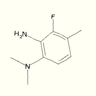 Cc1ccc(N(C)C)c(N)c1F